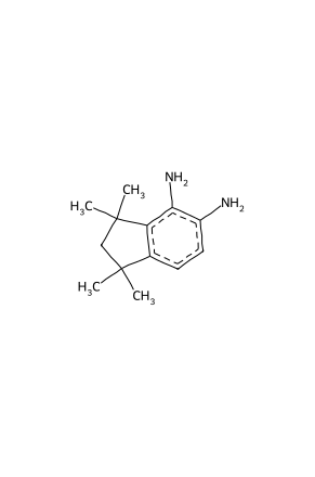 CC1(C)CC(C)(C)c2c1ccc(N)c2N